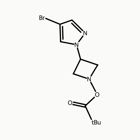 CC(C)(C)C(=O)ON1CC(n2cc(Br)cn2)C1